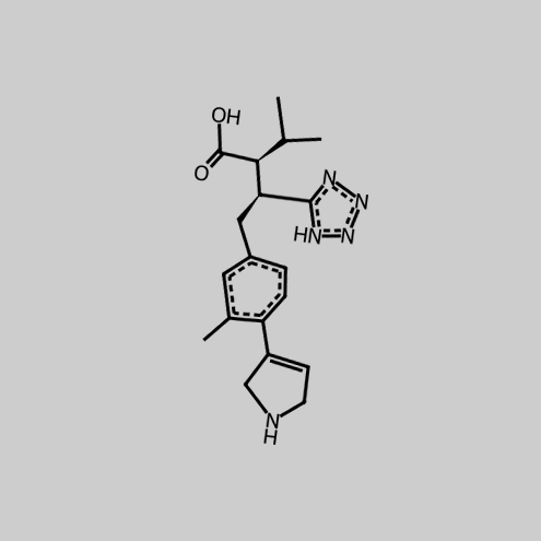 Cc1cc(C[C@H](c2nnn[nH]2)[C@@H](C(=O)O)C(C)C)ccc1C1=CCNC1